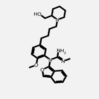 CN=C(N)N(c1cc(CCCCN2CCCCC2CO)ccc1OC)c1occ2ccccc12